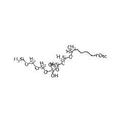 CCCCCCCCCCCCCC[SiH](C)O[SiH2]O[SiH2]O[Si](O)(O)O[SiH2]O[SiH2]O[SiH3]